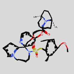 COc1cc(C)c(S(=O)(=O)N2CCn3cccc3C2COCC(=O)N2[C@@H]3CC[C@H]2C[C@@H](Oc2ccncc2)C3)c(C)c1